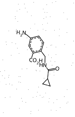 Nc1ccc(CNC(=O)C2CC2)c(C(=O)O)c1